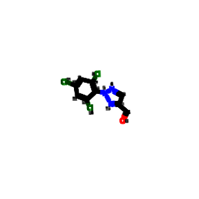 O=Cc1cnn(-c2c(Cl)cc(Cl)cc2Cl)n1